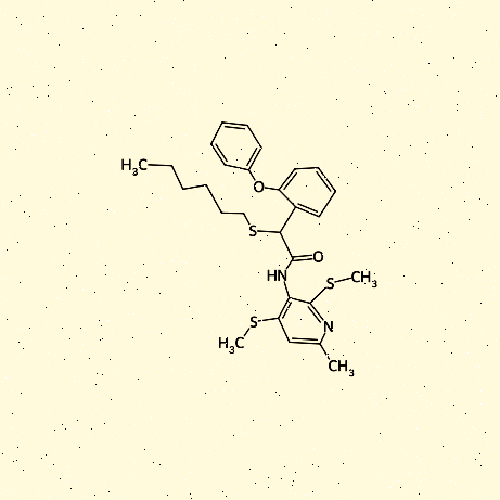 CCCCCCSC(C(=O)Nc1c(SC)cc(C)nc1SC)c1ccccc1Oc1ccccc1